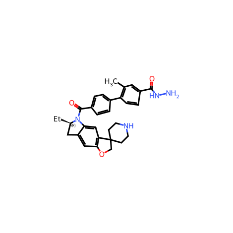 CC[C@@H]1Cc2cc3c(cc2N1C(=O)c1ccc(-c2ccc(C(=O)NN)cc2C)cc1)C1(CCNCC1)CO3